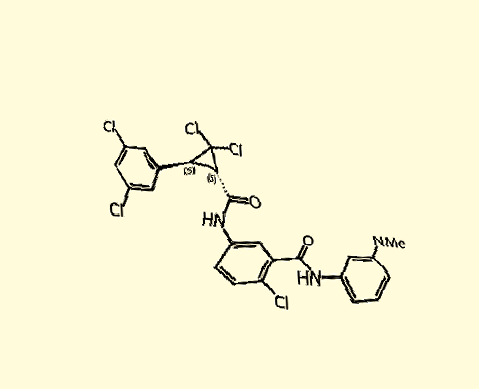 CNc1cccc(NC(=O)c2cc(NC(=O)[C@@H]3[C@@H](c4cc(Cl)cc(Cl)c4)C3(Cl)Cl)ccc2Cl)c1